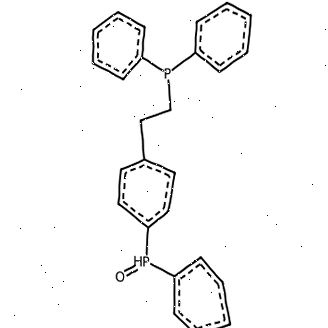 O=[PH](c1ccccc1)c1ccc(CCP(c2ccccc2)c2ccccc2)cc1